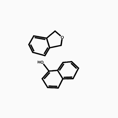 Oc1cccc2ccccc12.c1ccc2c(c1)COC2